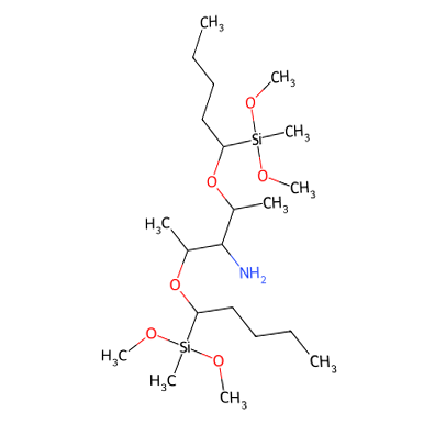 CCCCC(OC(C)C(N)C(C)OC(CCCC)[Si](C)(OC)OC)[Si](C)(OC)OC